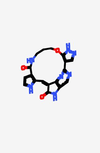 O=C1Nc2cnc3nc2/C1=C/c1[nH]ccc1C(=O)NCCCOc1[nH]ncc1-3